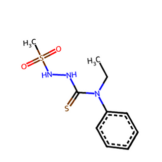 CCN(C(=S)NNS(C)(=O)=O)c1ccccc1